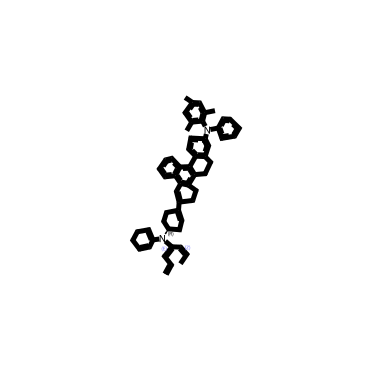 C=C/C=C(\C=C/C)N(C1=CCCC=C1)[C@H]1CC=C(C2=Cc3c(c4c(c5ccccc35)-c3ccc(N(c5ccccc5)c5c(C)cc(C)cc5C)cc3CC4)CC2)CC1